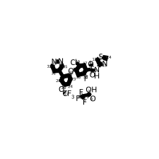 O=C(O)C(F)(F)F.O=S(=O)(Nc1cscn1)c1cc(Cl)c(Oc2ccc(OC(F)(F)F)cc2-c2ccnnc2)cc1F